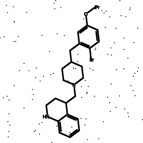 CC(C)Oc1ccc(Br)c(CC2CCN(CC3CCNc4ccccc43)CC2)c1